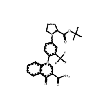 CC(C)(C)OC(=O)C1CCCN1c1ccc(-n2cc(C(N)=O)c(=O)c3ccccc32)c(C(F)(F)F)c1